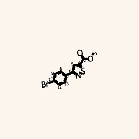 COC(=O)c1cc(-c2ccc(Br)cc2)ns1